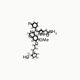 COc1cc2c(N(c3cccc(F)c3)c3cc(CC(N)=O)[nH]n3)ncnc2cc1OCCCN1CCC[C@@H]1CO